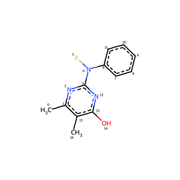 Cc1nc(N(F)c2ccccc2)nc(O)c1C